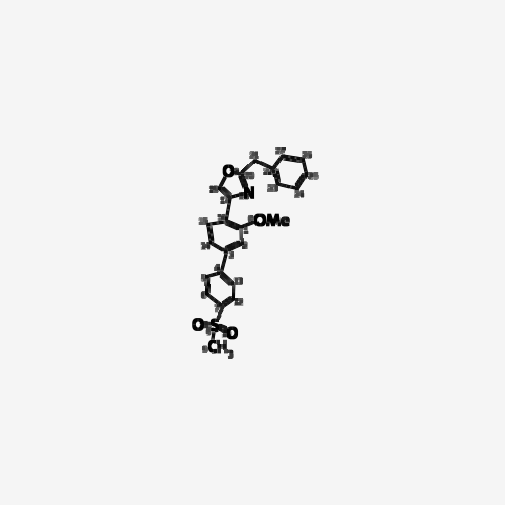 COc1cc(-c2ccc(S(C)(=O)=O)cc2)ccc1-c1coc(Cc2ccccc2)n1